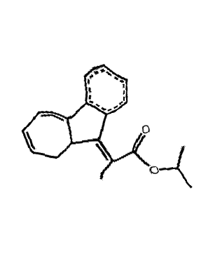 C/C(C(=O)OC(C)C)=C1/c2ccccc2C2=CC=CCC21